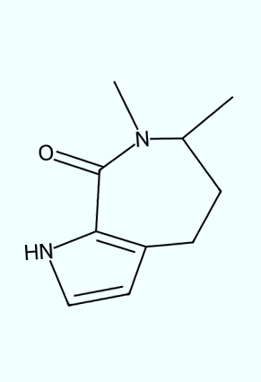 CC1CCc2cc[nH]c2C(=O)N1C